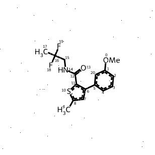 COc1cccc(-c2cc(C)sc2C(=O)NCC(C)(F)F)c1